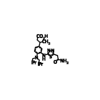 CC(C)CN(CC(C)C)c1ccc(C(C)CC(=O)O)cc1Nc1nnc(CC(N)=O)s1